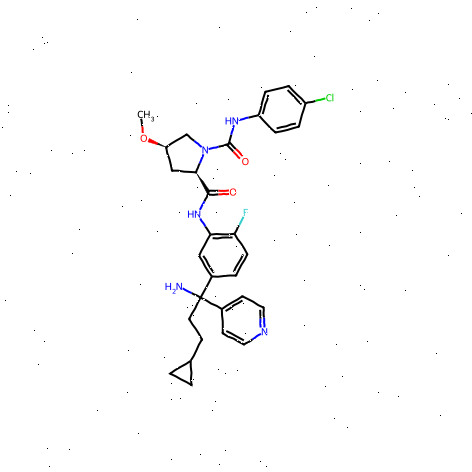 CO[C@@H]1C[C@H](C(=O)Nc2cc(C(N)(CCC3CC3)c3ccncc3)ccc2F)N(C(=O)Nc2ccc(Cl)cc2)C1